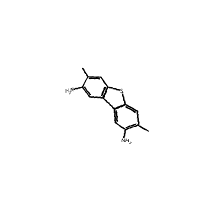 Cc1cc2sc3cc(C)c(N)cc3c2cc1N